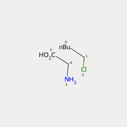 CCCCCCl.NCC(=O)O